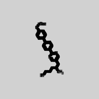 CCCCCCCCCCOc1ccc(-c2ccc(-c3ncc(CC(C)CCCC(C)C)cn3)cc2)cc1